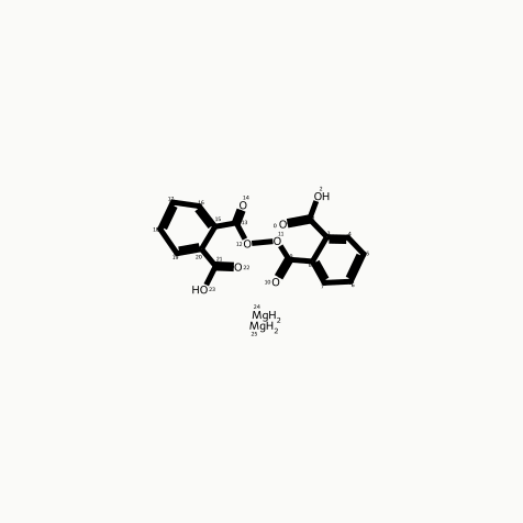 O=C(O)c1ccccc1C(=O)OOC(=O)c1ccccc1C(=O)O.[MgH2].[MgH2]